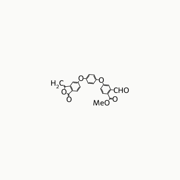 C=C1OC(=O)c2ccc(Oc3ccc(Oc4ccc(C(=O)OC)c(C=O)c4)cc3)cc21